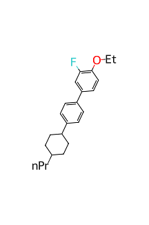 CCCC1CCC(c2ccc(-c3ccc(OCC)c(F)c3)cc2)CC1